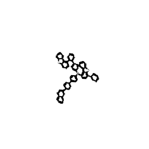 c1ccc(-c2ccc(N(c3ccc(-c4ccc(-c5ccc6ccccc6c5)cc4)cc3)c3ccc(-c4ccccc4-c4cccc5oc6ccccc6c45)cc3)c3c2oc2ccccc23)cc1